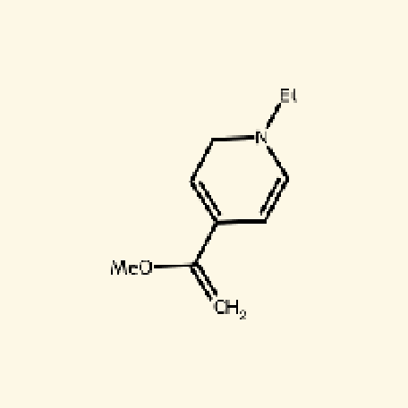 C=C(OC)C1=CCN(CC)C=C1